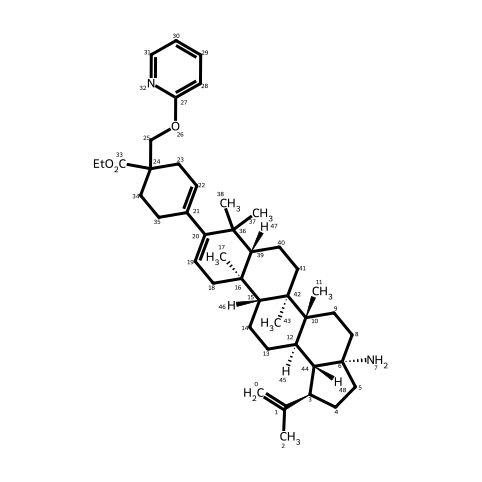 C=C(C)[C@@H]1CC[C@]2(N)CC[C@]3(C)[C@H](CC[C@@H]4[C@@]5(C)CC=C(C6=CCC(COc7ccccn7)(C(=O)OCC)CC6)C(C)(C)[C@@H]5CC[C@]43C)[C@@H]12